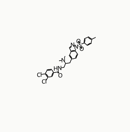 Cc1ccc(S(=O)(=O)n2ncc3cc(CC(CNC(=O)c4ccc(Cl)c(Cl)c4)N(C)C)ccc32)cc1